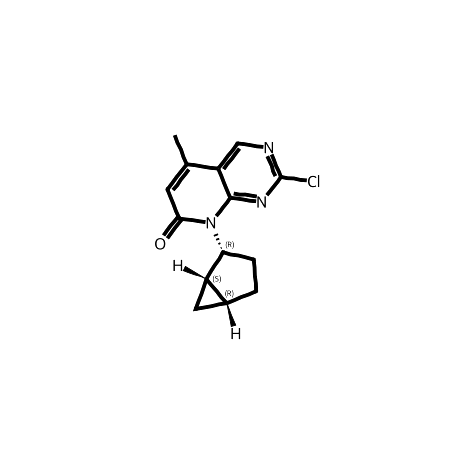 Cc1cc(=O)n([C@@H]2CC[C@@H]3C[C@@H]32)c2nc(Cl)ncc12